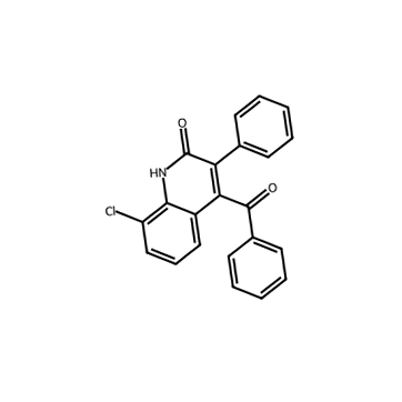 O=C(c1ccccc1)c1c(-c2ccccc2)c(=O)[nH]c2c(Cl)cccc12